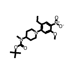 CCc1cc([N+](=O)[O-])c(OC)cc1N1CCC(N(C)C(=O)OC(C)(C)C)CC1